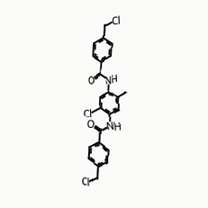 Cc1cc(NC(=O)c2ccc(CCl)cc2)c(Cl)cc1NC(=O)c1ccc(CCl)cc1